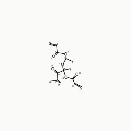 C=CC(=O)OC(C)OC(C)(OC(=O)C=C)C(=O)C(=C)C